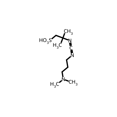 CN(C)CCCN=C=NC(C)(C)CS(=O)(=O)O